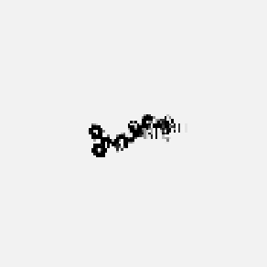 Nc1c(-c2cc(Cc3ccc(OCC(c4ccccc4)c4ccccc4)nc3)no2)ccc[n+]1COP(=O)([O-])O